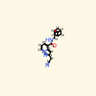 N#CCc1cc2c(C(=O)NCC3=C4C5CC(C3)CC4C5)cccn2n1